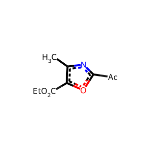 CCOC(=O)c1oc(C(C)=O)nc1C